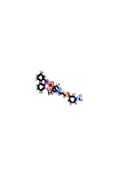 CN(C)c1cccc(OCCC[N+]23CCC(CC2)[C@@H](OC(=O)N(Cc2ccccc2)c2ccccc2)C3)c1